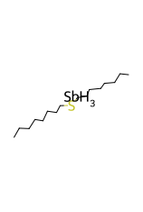 CCCCCCCCSCCCCCCCC.[SbH3]